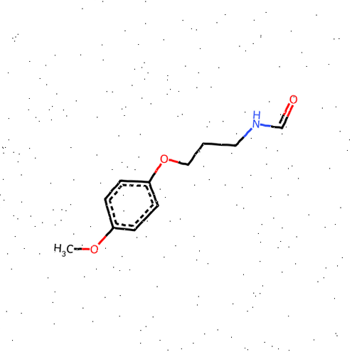 COc1ccc(OCCCNC=O)cc1